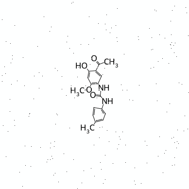 COc1cc(O)c(C(C)=O)cc1NC(=O)Nc1ccc(C)cc1